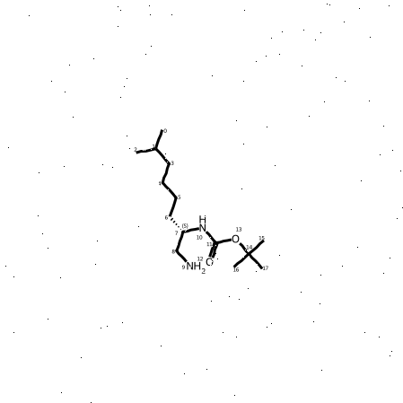 CC(C)CCCC[C@@H](CN)NC(=O)OC(C)(C)C